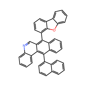 c1ccc2c(-c3c4ccccc4c(-c4cccc5c4oc4ccccc45)c4cnc5ccccc5c34)cccc2c1